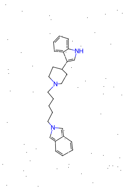 c1ccc2cn(CCCCCN3CCC(c4c[nH]c5ccccc45)CC3)cc2c1